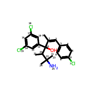 CC(=Cc1ccc(Cl)cc1)C(O)(c1cc(Cl)cc(Cl)c1)C(C)C(C)(C)N